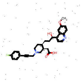 COc1ccc2nccc([C@H](O)CC[C@@H]3CCN(CC#Cc4ccc(F)cc4)C[C@@H]3CC(=O)O)c2c1